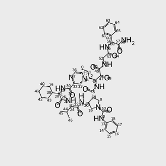 CCC[C@H](NC(=O)[C@@H]1CN(C(=O)Nc2ccccc2)C[C@@H]1NC(=O)[C@@H](NC(=O)[C@@H](NC(=O)c1cnccn1)C1CCCCC1)C(C)C)C(=O)C(=O)NCC(=O)N[C@H](C(N)=O)c1ccccc1